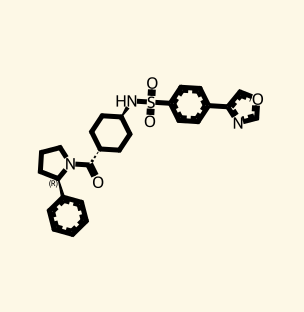 O=C([C@H]1CC[C@H](NS(=O)(=O)c2ccc(-c3cocn3)cc2)CC1)N1CCC[C@@H]1c1ccccc1